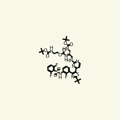 CC(C)(C)OC(=O)NCCOC(=O)N[C@@H](CNC(=O)OC(C)(C)C)CNc1nccc(-c2sc(C(C)(C)C)nc2-c2cccc(NS(=O)(=O)c3c(F)cccc3F)c2F)n1